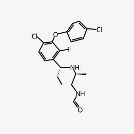 CC[C@@H](N[C@@H](C)CNC=O)c1ccc(Cl)c(Oc2ccc(Cl)cc2)c1F